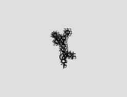 Fc1ccc2oc3c(c2c1)c1cc(F)ccc1n3-c1ccc2cc(N(c3ccc(-c4ccccc4)cc3)c3cccc4c3oc3ccccc34)ccc2c1